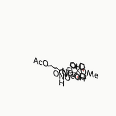 COc1ccccc1C(c1ccccc1)(c1ccccc1OC)C(O)[C@H]1O[C@@H](n2cc(/C=C/CCOC(C)=O)c(=O)[nH]c2=O)C[C@@H]1O